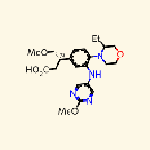 CCC1COCCN1c1ccc([C@@H](COC)CC(=O)O)cc1Nc1cnc(OC)nc1